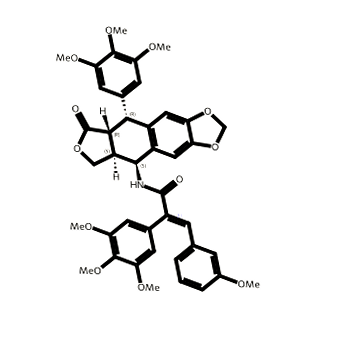 COc1cccc(/C=C(/C(=O)N[C@@H]2c3cc4c(cc3[C@@H](c3cc(OC)c(OC)c(OC)c3)[C@H]3C(=O)OC[C@@H]32)OCO4)c2cc(OC)c(OC)c(OC)c2)c1